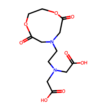 O=C(O)CN(CCN1CC(=O)OCCOC(=O)C1)CC(=O)O